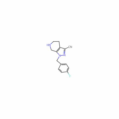 N#Cc1nn(Cc2ccc(F)cc2)c2c1CCNC2